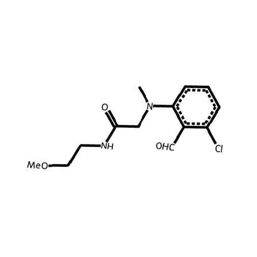 COCCNC(=O)CN(C)c1cccc(Cl)c1C=O